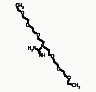 CCOCCOCCOCCN(CCOCCOCCOCC)C(=N)N